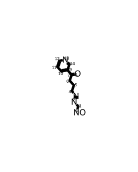 O=NCN=NCCCC(=O)c1cccnc1